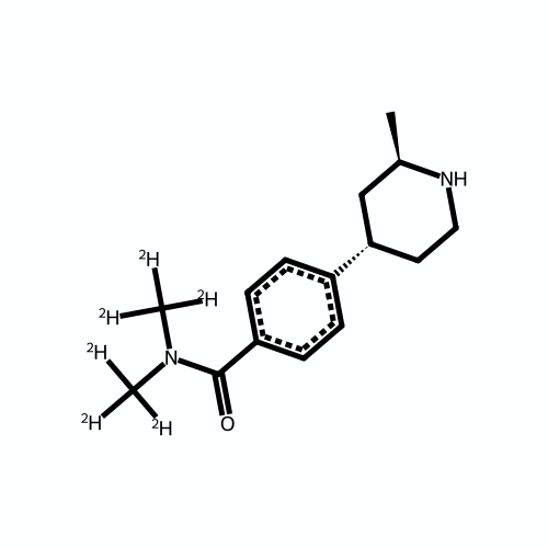 [2H]C([2H])([2H])N(C(=O)c1ccc([C@H]2CCN[C@H](C)C2)cc1)C([2H])([2H])[2H]